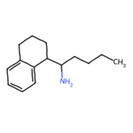 CCCCC(N)C1CCCc2ccccc21